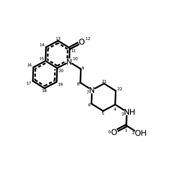 O=C(O)NC1CCN(CCn2c(=O)ccc3ccccc32)CC1